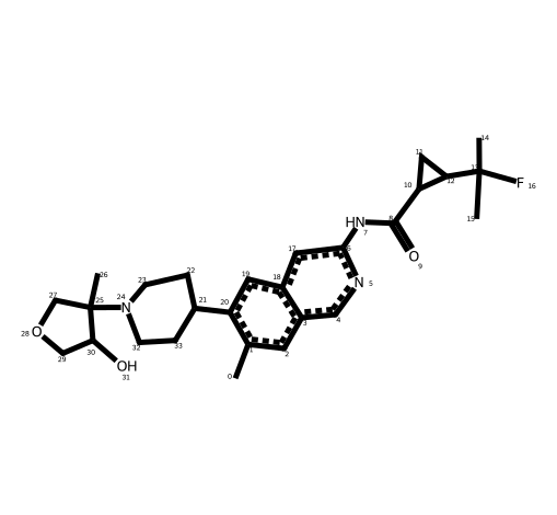 Cc1cc2cnc(NC(=O)C3CC3C(C)(C)F)cc2cc1C1CCN(C2(C)COCC2O)CC1